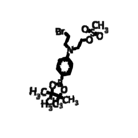 CC1(C)OB(c2ccc(N(CCBr)CCOS(C)(=O)=O)cc2)OC1(C)C